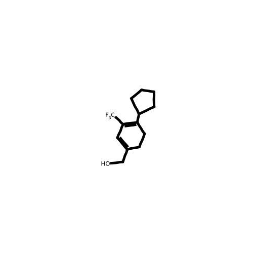 OCC1=CC(C(F)(F)F)=C(C2CCCC2)CC1